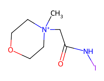 C[N+]1(CC(=O)NI)CCOCC1